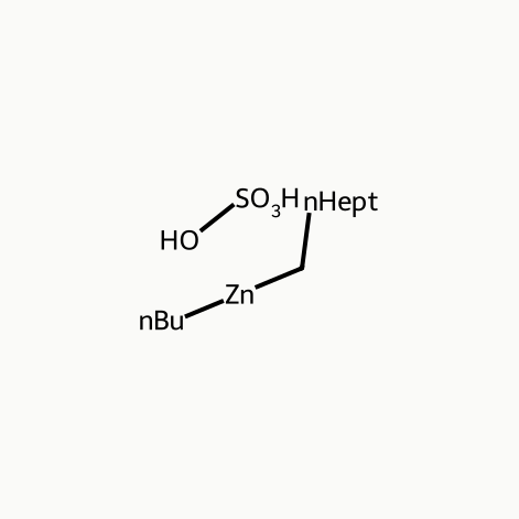 CCCCCCC[CH2][Zn][CH2]CCC.O=S(=O)(O)O